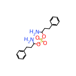 NC(CCc1ccccc1)OS(=O)(=O)OC(N)CCc1ccccc1